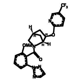 COc1cccc(-n2nccn2)c1C(=O)N1C[C@H]2C[C@@H](Oc3ccc(C(F)(F)F)cn3)[C@@H]1C2